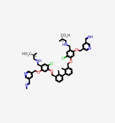 C/N=C/c1cncc(COc2cc(OCc3cccc(-c4cccc(COc5cc(OCc6cncc(C=N)c6)c(CNC[C@H](C)C(=O)O)cc5Cl)c4C)c3C)c(Cl)cc2CNC[C@H](C)C(=O)O)c1